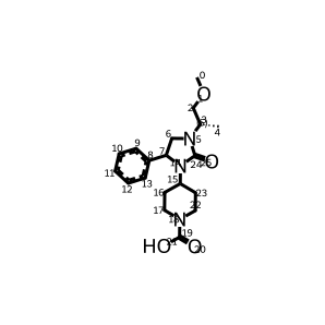 COC[C@H](C)N1CC(c2ccccc2)N(C2CCN(C(=O)O)CC2)C1=O